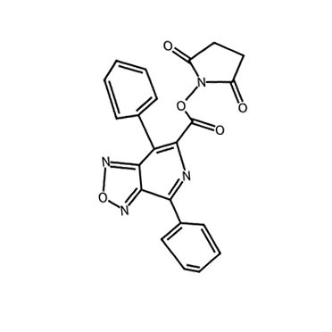 O=C(ON1C(=O)CCC1=O)c1nc(-c2ccccc2)c2nonc2c1-c1ccccc1